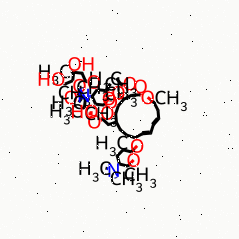 COC1C(OC(C)=O)CC(=O)OC(C)C/C=C/C=C/C(OC2CCC(N(C)C)C(C)O2)C(C)CC(CC=O)C1OC1OC(C)C(OCCC(C)(O)C(OC(=O)CC(C)C)C(C)O)C(N(C)C)C1O